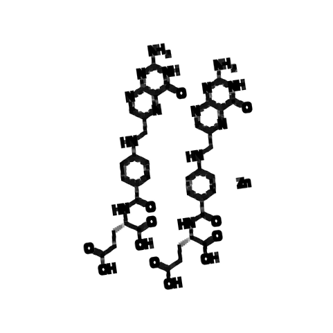 Nc1nc2ncc(CNc3ccc(C(=O)N[C@@H](CCC(=O)O)C(=O)O)cc3)nc2c(=O)[nH]1.Nc1nc2ncc(CNc3ccc(C(=O)N[C@@H](CCC(=O)O)C(=O)O)cc3)nc2c(=O)[nH]1.[Zn]